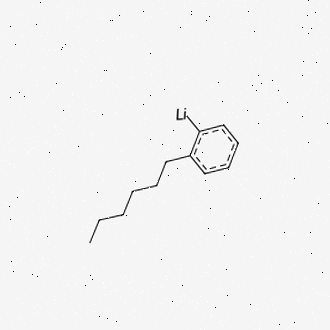 [Li][c]1ccccc1CCCCCC